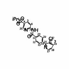 CC(C)S(=O)(=O)c1ccc(NC(=O)c2ccc(-c3ncccc3C(F)(F)F)cc2)nc1